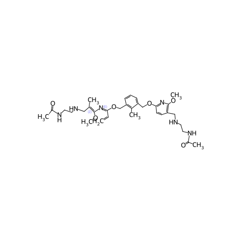 C=C/C(=N\C(OC)=C(/C)CNCCNC(C)=O)OCc1cccc(COc2ccc(CNCCNC(C)=O)c(OC)n2)c1C